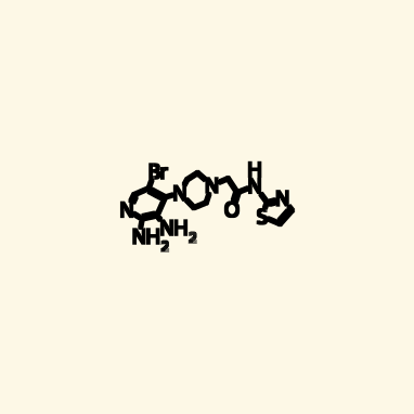 Nc1ncc(Br)c(N2CCN(CC(=O)Nc3nccs3)CC2)c1N